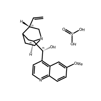 C=C[C@@H]1CN2CCC1C[C@@H]2[C@H](O)c1ccnc2ccc(OC)cc12.O=S(O)O